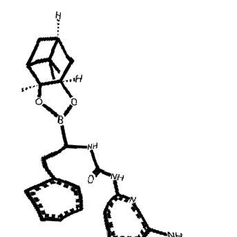 CC1(C)C2C[C@H]1C[C@H]1OB(C(Cc3ccccc3)NC(=O)Nc3cccc(N)n3)O[C@@]21C